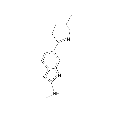 CNc1nc2cc(C3=NCC(C)CC3)ccc2s1